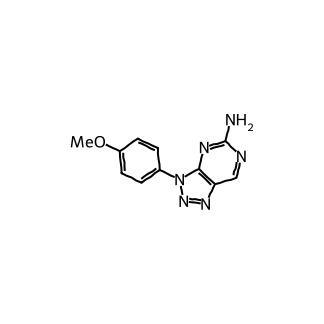 COc1ccc(-n2nnc3cnc(N)nc32)cc1